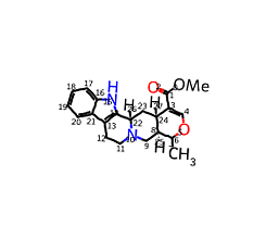 COC(=O)C1=COC(C)[C@H]2CN3CCc4c([nH]c5ccccc45)[C@@H]3C[C@H]12